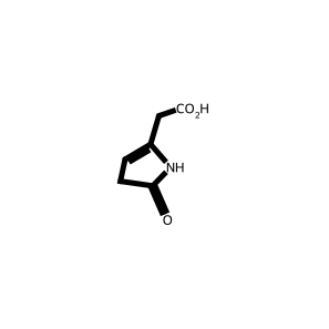 O=C(O)CC1=CCC(=O)N1